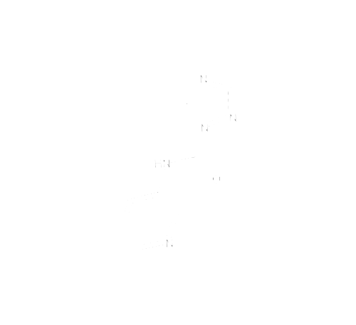 O=C(Nc1cccnc1)n1cncn1